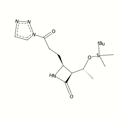 C[C@@H](O[Si](C)(C)C(C)(C)C)[C@H]1C(=O)N[C@H]1CCC(=O)n1ccnn1